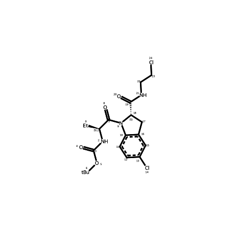 CC[C@H](NC(=O)OC(C)(C)C)C(=O)N1c2ccc(Cl)cc2C[C@H]1C(=O)NCCCl